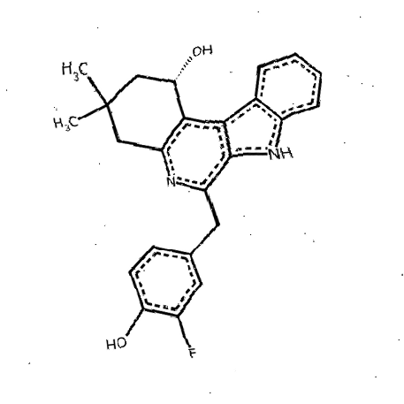 CC1(C)Cc2nc(Cc3ccc(O)c(F)c3)c3[nH]c4ccccc4c3c2[C@@H](O)C1